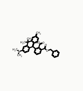 C=c1ccc2c(c1)C(C)(C)c1cc(N(C)C)ccc1C=2c1cccc(C(=O)OCc2ccccc2)c1C(=O)O